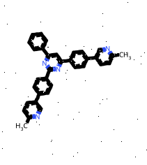 Cc1ccc(-c2ccc(-c3cc(-c4ccccc4)nc(-c4ccc(-c5ccc(C)nc5)cc4)n3)cc2)cn1